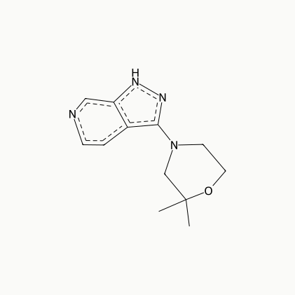 CC1(C)CN(c2n[nH]c3cnccc23)CCO1